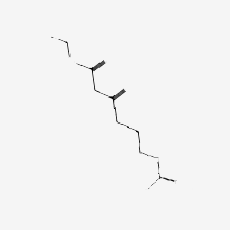 CCOC(=O)CC(=O)CCCCC(C)C